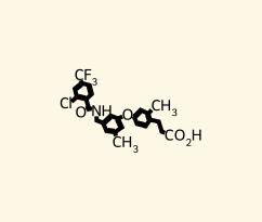 Cc1cc(CNC(=O)c2ccc(C(F)(F)F)cc2Cl)cc(Oc2ccc(CCC(=O)O)c(C)c2)c1